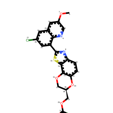 COc1cnc2c(-c3nc4ccc5c(c4s3)OC[C@H](COC(=O)Cl)O5)cc(Cl)cc2c1